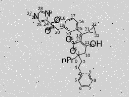 CCCC1(CCc2ccccc2)CC(O)=C(C(c2cccc(CS(=O)(=O)c3cn(C)cn3)c2)C2CC2)C(=O)O1